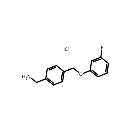 Cl.NCc1ccc(COc2cccc(F)c2)cc1